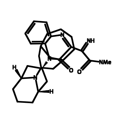 CNC(=O)C(=N)c1nc2ccccc2n([C@H]2C[C@H]3CCC[C@@H](C2)N3C2CC3CCCCC(C3)C2)c1=O